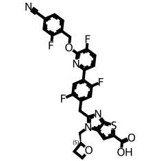 N#Cc1ccc(COc2nc(-c3cc(F)c(Cc4nc5sc(C(=O)O)cc5n4C[C@@H]4CCO4)cc3F)ccc2F)c(F)c1